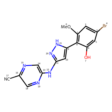 COc1cc(Br)cc(O)c1-c1cc(Nc2cnc(C#N)cn2)n[nH]1